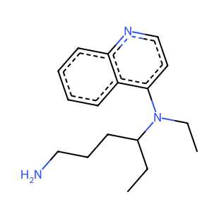 CCC(CCCN)N(CC)c1ccnc2ccccc12